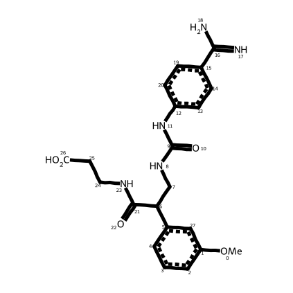 COc1cccc(C(CNC(=O)Nc2ccc(C(=N)N)cc2)C(=O)NCCC(=O)O)c1